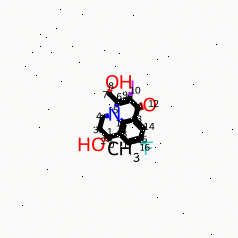 CC1(O)CCn2c(CO)c(I)c(=O)c3cc(F)cc1c32